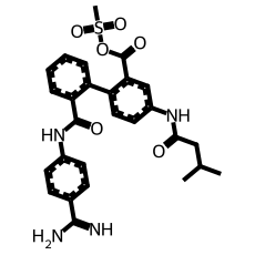 CC(C)CC(=O)Nc1ccc(-c2ccccc2C(=O)Nc2ccc(C(=N)N)cc2)c(C(=O)OS(C)(=O)=O)c1